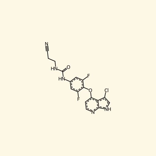 N#CCCNC(=O)Nc1cc(F)c(Oc2ccnc3[nH]cc(Cl)c23)c(F)c1